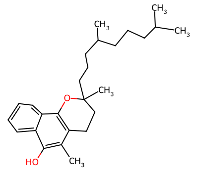 Cc1c2c(c3ccccc3c1O)OC(C)(CCCC(C)CCCC(C)C)CC2